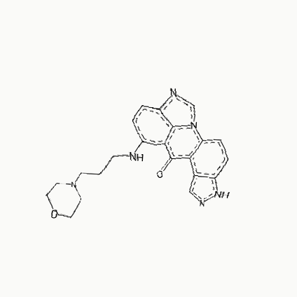 O=c1c2c(NCCCN3CCOCC3)ccc3ncn(c4ccc5[nH]ncc5c14)c32